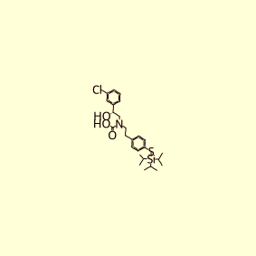 CC(C)[Si](Sc1ccc(CCN(C[C@H](O)c2cccc(Cl)c2)C(=O)O)cc1)(C(C)C)C(C)C